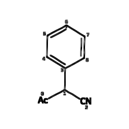 CC(=O)C(C#N)c1cc[c]cc1